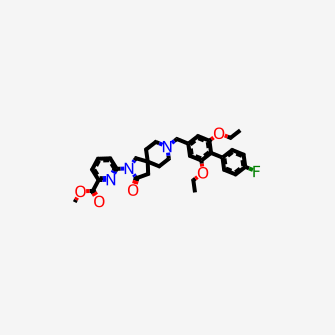 CCOc1cc(CN2CCC3(CC2)CC(=O)N(c2cccc(C(=O)OC)n2)C3)cc(OCC)c1-c1ccc(F)cc1